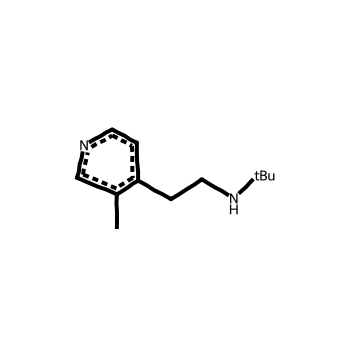 Cc1cnccc1CCNC(C)(C)C